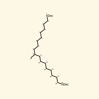 CCCCCCCCCCCCCCCCCCC(C)CCCCCCCCCCCCCCCCCC